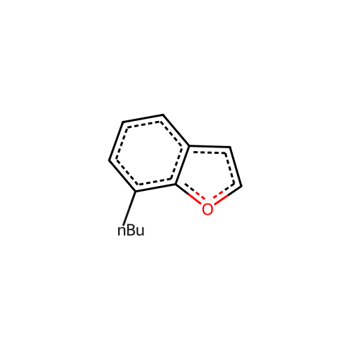 [CH2]CCCc1cccc2ccoc12